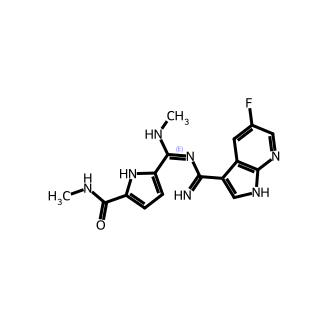 CNC(=O)c1ccc(/C(=N\C(=N)c2c[nH]c3ncc(F)cc23)NC)[nH]1